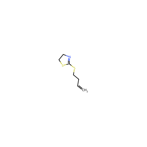 C=CCCSC1=NCCS1